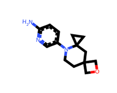 Nc1ccc(N2CCC3(COC3)CC23CC3)cn1